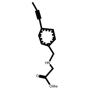 CC#Cc1ccc(CNCC(=O)OC)cc1